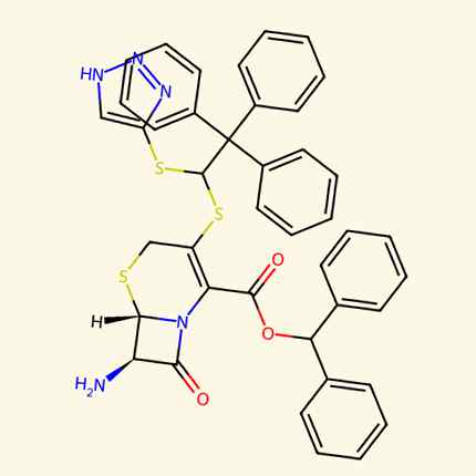 N[C@@H]1C(=O)N2C(C(=O)OC(c3ccccc3)c3ccccc3)=C(SC(Sc3c[nH]nn3)C(c3ccccc3)(c3ccccc3)c3ccccc3)CS[C@@H]12